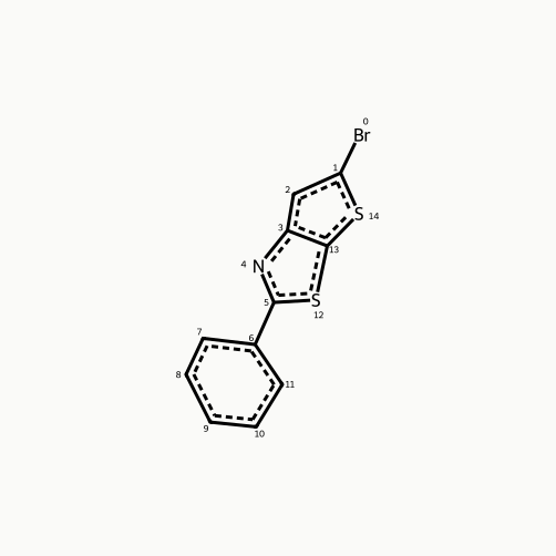 Brc1cc2nc(-c3ccccc3)sc2s1